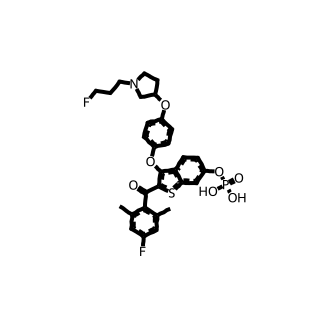 Cc1cc(F)cc(C)c1C(=O)c1sc2cc(OP(=O)(O)O)ccc2c1Oc1ccc(OC2CCN(CCCF)C2)cc1